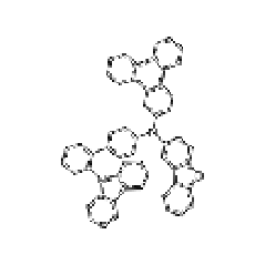 c1ccc(-n2c3ccccc3c3ccccc32)c(-c2ccc(N(c3ccc4oc5ccccc5c4c3)c3ccc4c5ccccc5c5ccccc5c4c3)cc2)c1